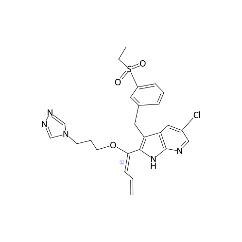 C=C/C=C(/OCCCn1cnnc1)c1[nH]c2ncc(Cl)cc2c1Cc1cccc(S(=O)(=O)CC)c1